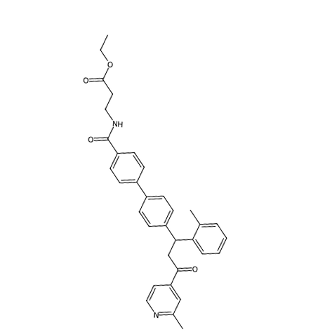 CCOC(=O)CCNC(=O)c1ccc(-c2ccc(C(CC(=O)c3ccnc(C)c3)c3ccccc3C)cc2)cc1